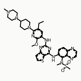 CCc1cc(Nc2nc(Nc3ccc4nccnc4c3N(C)S(C)(=O)=O)c3sccc3n2)c(OC)nc1N1CCC(N2CCN(C)CC2)CC1